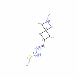 CN1CC2(CC(/C=N/NSI)C2)C1